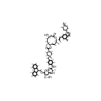 CC(=O)N1CCC(n2nnc3c(F)cc(/C=C(\C)[C@H]4OC(=O)C[C@H](O)CC[C@H](C)[C@@H](OC(=O)N5CC[N+](C)(Cc6ccc(NC(=O)[C@H](C)NC(=O)[C@@H](NC(=O)OCC7c8ccccc8-c8ccccc87)C(C)C)cc6)CC5)/C=C/[C@@H]4C)cc32)CC1